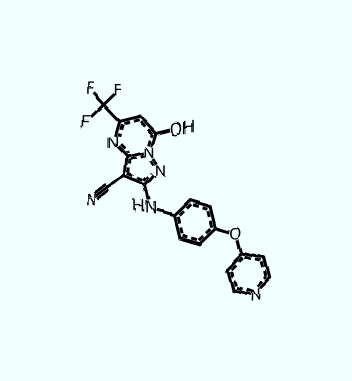 N#Cc1c(Nc2ccc(Oc3ccncc3)cc2)nn2c(O)cc(C(F)(F)F)nc12